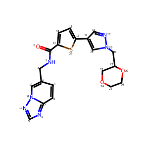 O=C(NCc1ccc2ncnn2c1)c1ccc(-c2cnn(CC3COCCO3)c2)s1